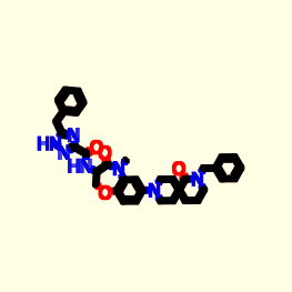 CN1C(=O)C(NC(=O)c2n[nH]c(Cc3ccccc3)n2)COc2ccc(N3CCC4(CCCN(Cc5ccccc5)C4=O)CC3)cc21